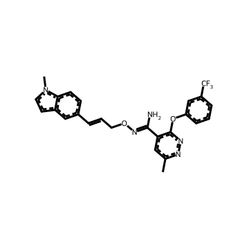 Cc1cc(/C(N)=N/OC/C=C/c2ccc3c(ccn3C)c2)c(Oc2cccc(C(F)(F)F)c2)nn1